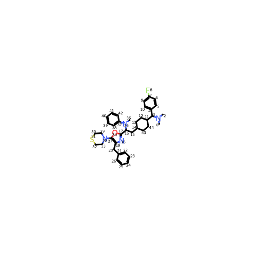 CN(C)C(c1ccc(F)cc1)C1CCC(CC(c2nc(Cc3ccccc3)c(N3CCSCC3)o2)N(C)c2ccccc2)CC1